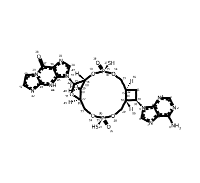 Nc1ncnc2c1ncn2[C@@H]1C[C@@H]2CO[P@](=O)(S)O[C@@H]3[C@H](O)[C@@H](CO[P@](=O)(S)OC[C@H]21)O[C@H]3n1cnc2c(=O)n3ccnc3[nH]c21